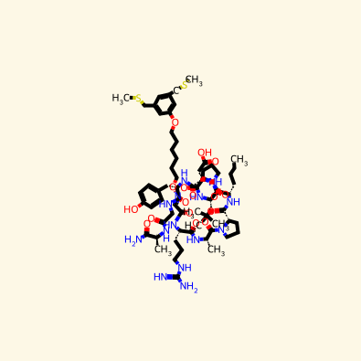 CCCC[C@H](NC(=O)[C@@H]1CCCN1C(=O)[C@H](C)NC(=O)[C@H](CCCNC(=N)N)NC(=O)/C=N/OCCCCCCOc1cc(CSC)cc(CSC)c1)C(=O)N[C@@H](CC(=O)O)C(=O)N[C@@H](CC(C)(C)C)C(=O)N1CCC[C@H]1C(=O)N[C@@H](Cc1ccc(O)cc1)C(=O)NCC(=O)N[C@@H](C)C(N)=O